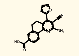 N#Cc1c(N)nc2c(c1-c1ccco1)CCc1cc(C(=O)O)ccc1-2